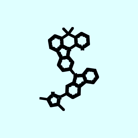 Cc1cc(C)n(-c2ccc3c4ccccc4n(-c4ccc5c6cccc7c6n(c5c4)-c4ncccc4C7(C)C)c3c2)n1